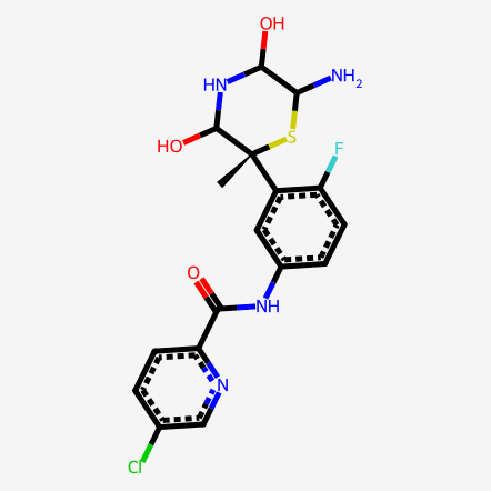 C[C@]1(c2cc(NC(=O)c3ccc(Cl)cn3)ccc2F)SC(N)C(O)NC1O